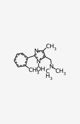 Cc1ccccc1-c1nc(C)c(CN(C)C)n1O